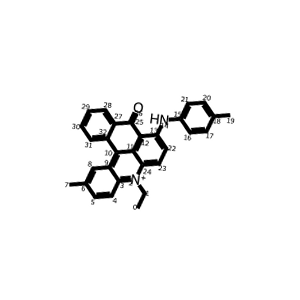 CC[n+]1c2ccc(C)cc2c2c3c(c(Nc4ccc(C)cc4)ccc31)C(=O)c1ccccc1-2